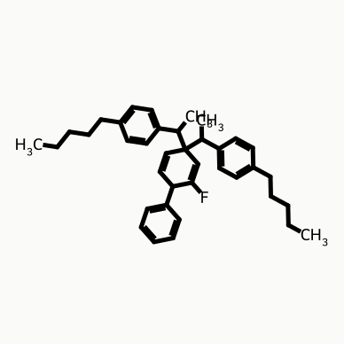 CCCCCc1ccc(C(C)C2(C(C)c3ccc(CCCCC)cc3)C=CC(c3ccccc3)C(F)=C2)cc1